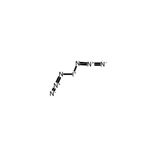 [N-]=[N+]=N[I+]N=[N+]=[N-]